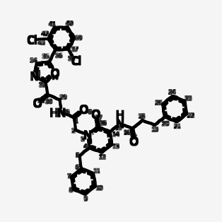 O=C(Cn1c(Cc2ccccc2)ccc(NC(=O)CCc2ccccc2)c1=O)NCC(=O)c1ncc(-c2c(Cl)cccc2Cl)o1